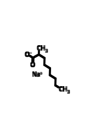 CCCCCCCC(C)C(=O)[O-].[Na+]